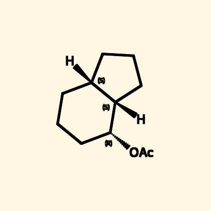 CC(=O)O[C@@H]1CCC[C@@H]2CCC[C@@H]21